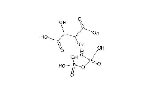 O=C(O)C(O)C(O)C(=O)O.O=P(O)(O)OP(=O)(O)O